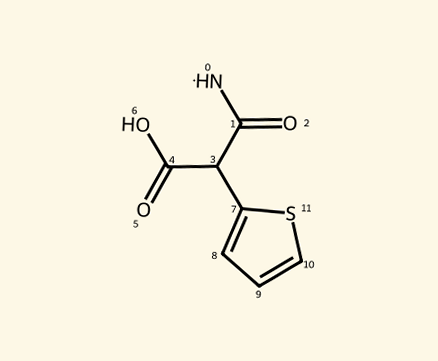 [NH]C(=O)C(C(=O)O)c1cccs1